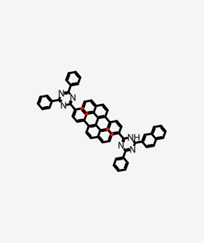 c1ccc(C2=NC(c3ccc4ccccc4c3)NC(c3ccc(-c4ccc5ccccc5c4-c4c(-c5ccc(-c6nc(-c7ccccc7)nc(-c7ccccc7)n6)cc5)ccc5ccccc45)cc3)=N2)cc1